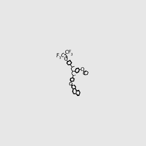 CC(CC(CC(C)c1ccc(Oc2ccc3c(ccc4ccccc43)c2)cc1)c1ccc(OC2CC3CCC2C3)cc1)c1ccc(OCC(C(F)(F)F)C(F)(F)F)cc1